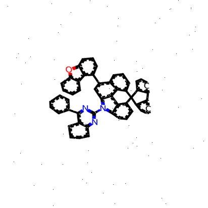 c1ccc(-c2nc(-n3c4cccc5c4c4c6c(cccc6c(-c6cccc7oc8ccccc8c67)cc43)C53c4ccccc4-c4ccccc43)nc3ccccc23)cc1